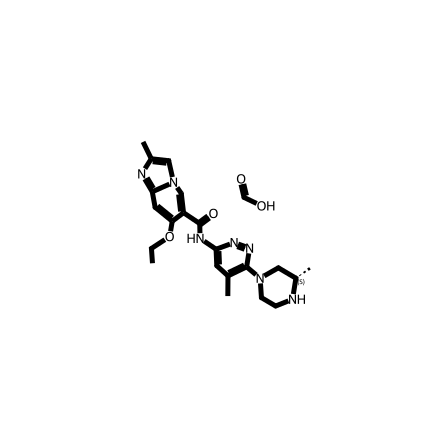 CCOc1cc2nc(C)cn2cc1C(=O)Nc1cc(C)c(N2CCN[C@@H](C)C2)nn1.O=CO